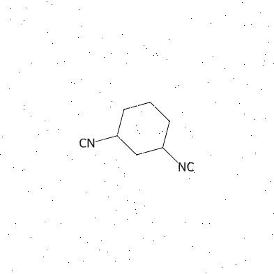 [C-]#[N+]C1CCCC([N+]#[C-])C1